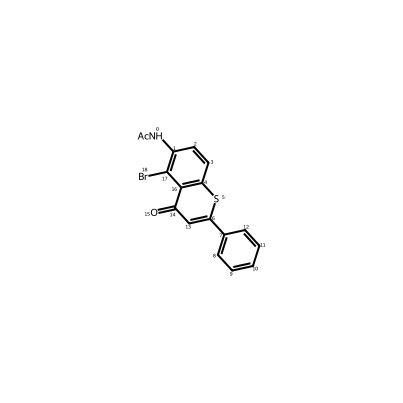 CC(=O)Nc1ccc2sc(-c3ccccc3)cc(=O)c2c1Br